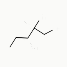 CC[C@@H](O)[C@@](C)(O)CO